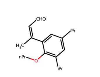 CCCOc1c(/C(C)=C\C=O)cc(C(C)C)cc1C(C)C